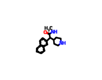 CNC(=O)C(c1ccc2ccccc2c1)C1CCNCC1